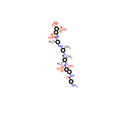 Cc1cc(N=Nc2cc(C)c(N=Nc3c(S(=O)(=O)O)cc4cc(NC(=O)c5ccc(N)cc5)ccc4c3O)cc2C)ccc1N=Nc1ccc(N=Nc2cc3c(S(=O)(=O)O)cc(S(=O)(=O)O)cc3cc2S(=O)(=O)O)c(C)c1